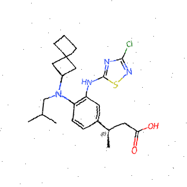 CC(C)CN(c1ccc([C@H](C)CC(=O)O)cc1Nc1nc(Cl)ns1)C1CC2(CCC2)C1